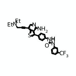 CCN(CC)CC#Cc1cnc(N)c2c(-c3ccc(NC(=O)Nc4cccc(C(F)(F)F)c4)cc3)csc12